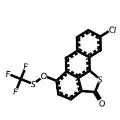 O=C1Sc2c3cc(Cl)ccc3cc3c(OSC(F)(F)F)ccc1c23